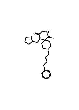 O=C1CNC(=O)C2(CCN(CCCCc3ccccc3)CC2)N1CC1CCCO1